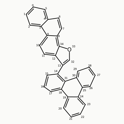 c1ccc2c(c1)ccc1c2ccc2c(-c3cccc4c5ccccc5c5ccccc5c34)coc21